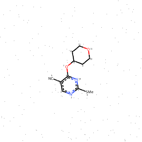 CSc1ncc(C#N)c(OC2CCOCC2)n1